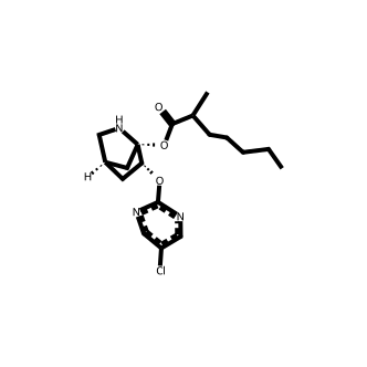 CCCCCC(C)C(=O)O[C@]12C[C@H](CN1)C[C@H]2Oc1ncc(Cl)cn1